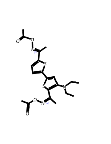 CCN(CC)c1cc(-c2ccc(/C(C)=N/OC(C)=O)s2)sc1/C(C)=N\OC(C)=O